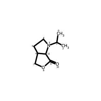 CC(C)N1CCC2COC(=O)C21